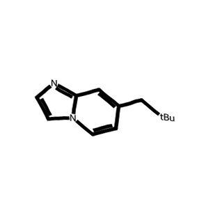 CC(C)(C)Cc1ccn2ccnc2c1